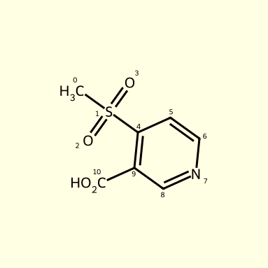 CS(=O)(=O)c1ccncc1C(=O)O